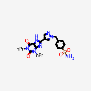 CCCn1c(=O)c2[nH]c(-c3cnn(Cc4ccc(S(N)(=O)=O)cc4)c3)nc2n(CCC)c1=O